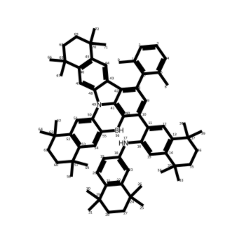 Cc1cccc(C)c1-c1cc(-c2cc3c(cc2Nc2ccc4c(c2)C(C)(C)CCC4(C)C)C(C)(C)CCC3(C)C)c2c3c1c1cc4c(cc1n3-c1cc3c(cc1B2)C(C)(C)CCC3(C)C)C(C)(C)CCC4(C)C